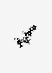 CC(=O)c1cn(CC(=O)N2[C@H](I)[C@@H](C)C[C@H]2C(=O)Nc2nc(C(F)(F)F)ccc2C2CC2)c2c(C)cc(-c3cnc4cc(C)nn4c3)cc12